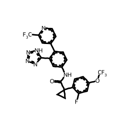 O=C(Nc1ccc(-c2ccnc(C(F)(F)F)c2)c(-c2nnn[nH]2)c1)C1(c2ccc(OC(F)(F)F)cc2F)CC1